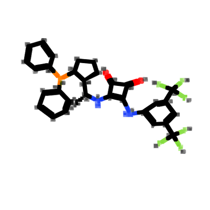 C[C@@H](Nc1c(Nc2cc(C(F)(F)F)cc(C(F)(F)F)c2)c(=O)c1=O)[C@@H]1CCCC1P(c1ccccc1)c1ccccc1